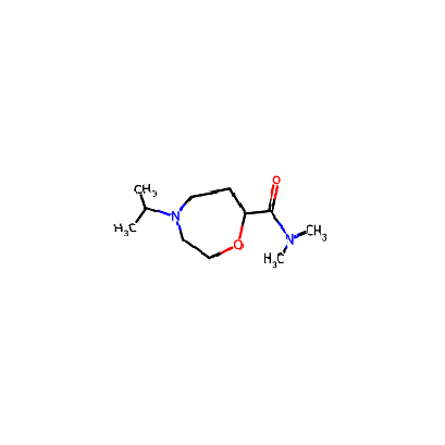 CC(C)N1CCOC(C(=O)N(C)C)CC1